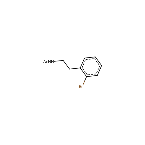 CC(=O)NCCc1ccccc1Br